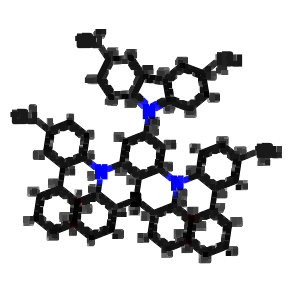 CC(C)(C)c1ccc(N2c3ccccc3B3c4ccccc4N(c4ccc(C(C)(C)C)cc4-c4ccccc4)c4cc(-n5c6ccc(C(C)(C)C)cc6c6cc(C(C)(C)C)ccc65)cc2c43)c(-c2ccccc2)c1